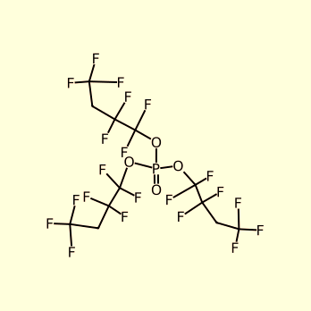 O=P(OC(F)(F)C(F)(F)CC(F)(F)F)(OC(F)(F)C(F)(F)CC(F)(F)F)OC(F)(F)C(F)(F)CC(F)(F)F